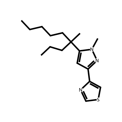 CCCCCC(C)(CCC)c1cc(-c2cscn2)nn1C